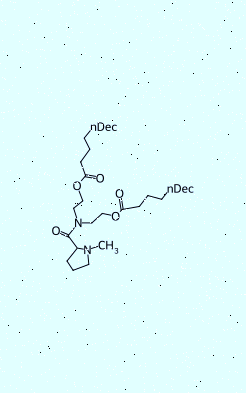 CCCCCCCCCCCCCC(=O)OCCN(CCOC(=O)CCCCCCCCCCCCC)C(=O)C1CCCN1C